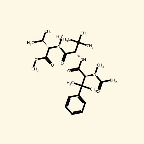 BC(=O)N(C)[C@H](C(=O)N[C@H](C(=O)N(C)[C@H](C(=O)OC)C(C)C)C(C)(C)C)C(C)(C)c1ccccc1